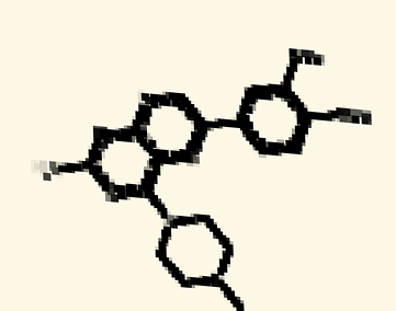 COc1ccc(-c2cnc3nc(N)nc(N4CCN(C)CC4)c3n2)cc1OC